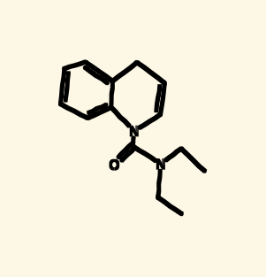 CCN(CC)C(=O)N1C=CCc2ccccc21